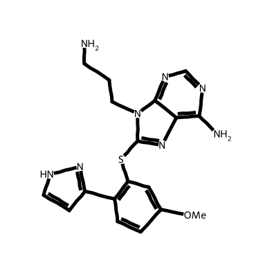 COc1ccc(-c2cc[nH]n2)c(Sc2nc3c(N)ncnc3n2CCCN)c1